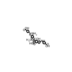 COc1cc(N=Nc2ccc(C(=O)O)cc2)c(N)cc1N=Nc1c(S(=O)(=O)O)cc2ccc(Nc3ccc(C(=O)O)cc3)cc2c1O